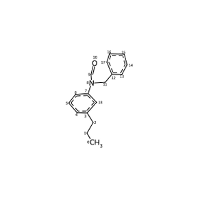 CCCc1cccc(N(C=O)Cc2ccccc2)c1